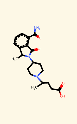 CC(CCC(=O)O)N1CCC(N2C(=O)c3c(C(N)=O)cccc3C2C)CC1